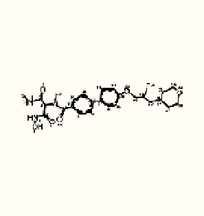 CNC(=O)C(C(=O)NO)N(C)C(=O)c1ccc(-c2ccc(OCC(F)CN3CCOCC3)cc2)cc1